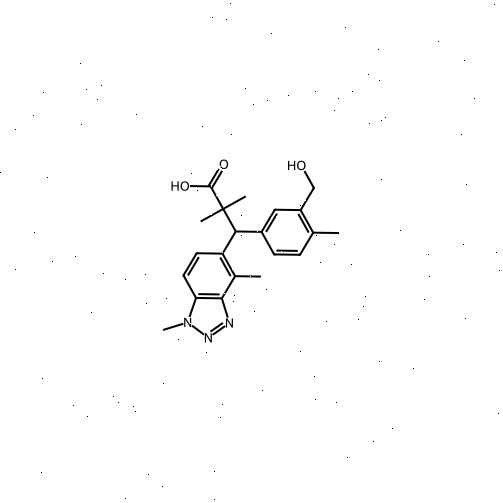 Cc1ccc(C(c2ccc3c(nnn3C)c2C)C(C)(C)C(=O)O)cc1CO